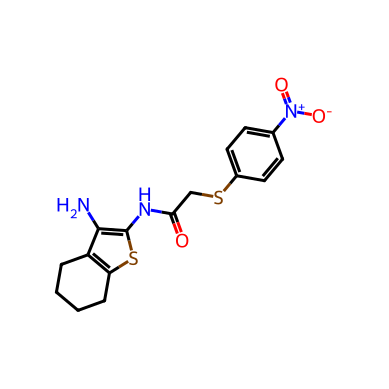 Nc1c(NC(=O)CSc2ccc([N+](=O)[O-])cc2)sc2c1CCCC2